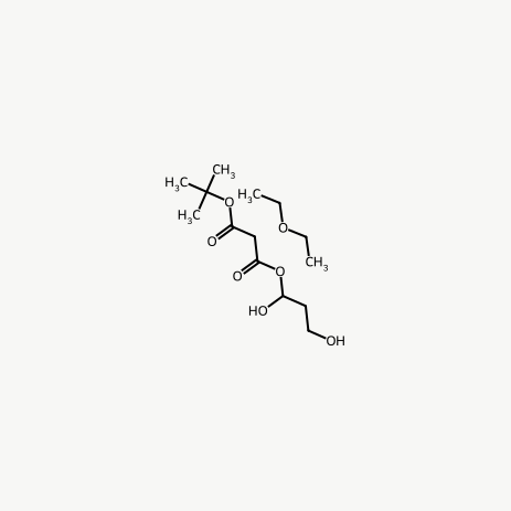 CC(C)(C)OC(=O)CC(=O)OC(O)CCO.CCOCC